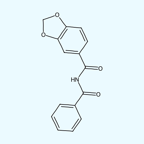 O=C(NC(=O)c1ccc2c(c1)OCO2)c1ccccc1